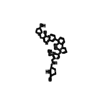 COc1nc(-c2cccc(-c3cccc(-c4ccn5c(=O)c(CN6CCC(O)C6)cnc5c4)c3Cl)c2Cl)ccc1CNCC1CCC(=O)N1